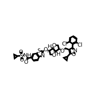 O=C(NS(=O)(=O)C1CC1)c1ccc2nc(O[C@@H]3CO[C@H]4[C@@H]3OC[C@H]4OCc3c(-c4c(Cl)cccc4Cl)noc3C3CC3)sc2c1